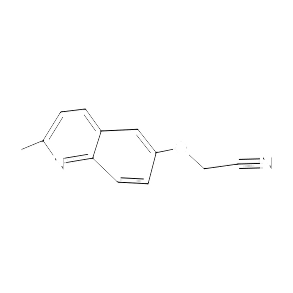 Cc1ccc2cc(OCC#N)ccc2n1